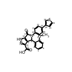 COc1ccccc1C1c2c(C(=O)O)n[nH]c2C(=O)N1c1ccc(-c2ccsc2)cc1